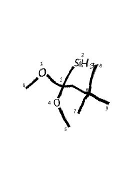 COC([SiH3])(OC)C(C)(C)C